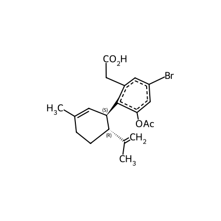 C=C(C)[C@@H]1CCC(C)=C[C@H]1c1c(CC(=O)O)cc(Br)cc1OC(C)=O